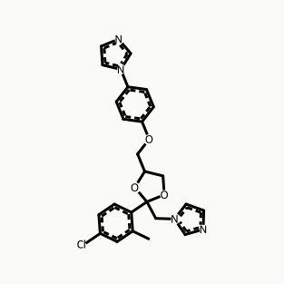 Cc1cc(Cl)ccc1C1(Cn2ccnc2)OCC(COc2ccc(-n3ccnc3)cc2)O1